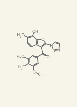 COc1cc(C(=O)c2c(-n3ccnn3)oc3c(O)c(C)ccc23)cc(C)c1C